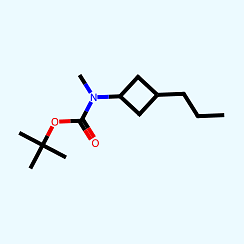 CCCC1CC(N(C)C(=O)OC(C)(C)C)C1